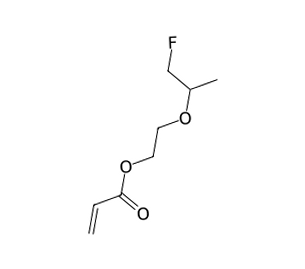 C=CC(=O)OCCOC(C)CF